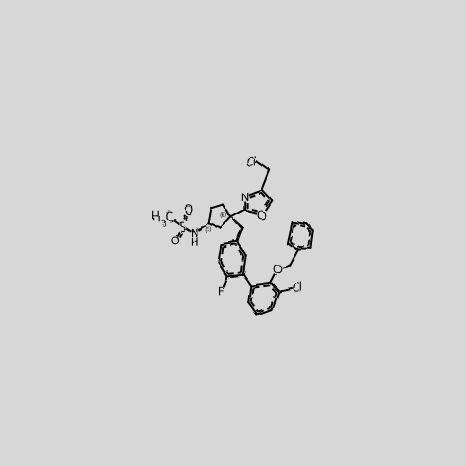 CS(=O)(=O)N[C@H]1CC[C@](Cc2ccc(F)c(-c3cccc(Cl)c3OCc3ccccc3)c2)(c2nc(CCl)co2)C1